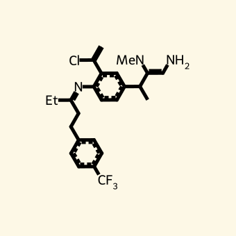 C=C(Cl)c1cc(C(C)/C(=C/N)NC)ccc1/N=C(/CC)CCc1ccc(C(F)(F)F)cc1